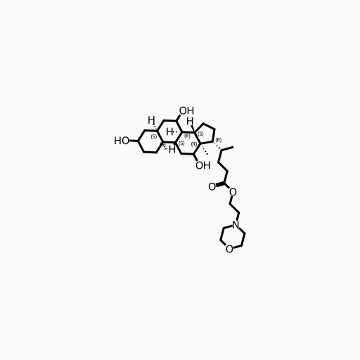 CC(CCC(=O)OCCN1CCOCC1)[C@H]1CC[C@H]2[C@@H]3C(O)C[C@@H]4CC(O)CC[C@]4(C)[C@H]3CC(O)[C@]12C